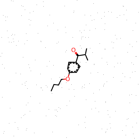 CCCCOc1ccc(C(=O)C(C)C)cc1